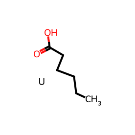 CCCCCC(=O)O.[U]